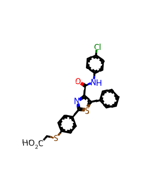 O=C(O)CSc1ccc(-c2nc(C(=O)Nc3ccc(Cl)cc3)c(-c3ccccc3)s2)cc1